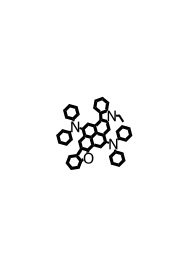 CCn1c2ccccc2c2c3cc(N(c4ccccc4)c4ccccc4)c4cc5c6ccccc6oc5c5cc(N(c6ccccc6)c6ccccc6)c(cc21)c3c45